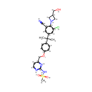 CC(C)(c1ccc(OCc2ccnc(NS(C)(=O)=O)n2)cc1)c1cc(Cl)c(N2CC(CO)C2)c(C#N)c1